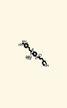 CN(C(=O)CCC1CCNCC1)c1ccc2c(c1)nc(CCc1ccc(C(=N)N)cc1)n2C.Cl.Cl